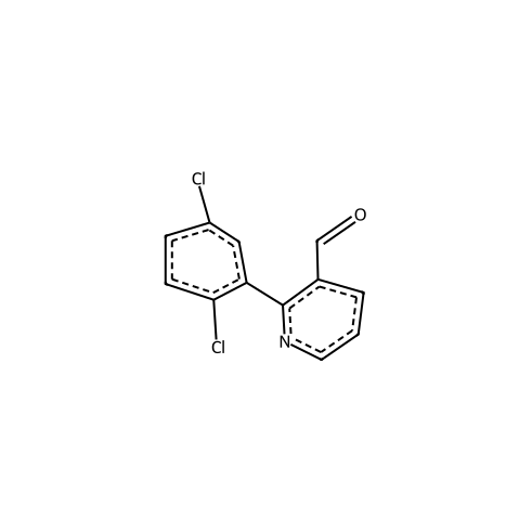 O=Cc1cccnc1-c1cc(Cl)ccc1Cl